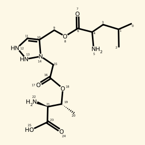 CC(C)CC(N)C(=O)OCC1=CNNN1CC(=O)O[C@H](C)[C@H](N)C(=O)O